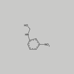 O=[N+]([O-])c1cccc(NCO)c1